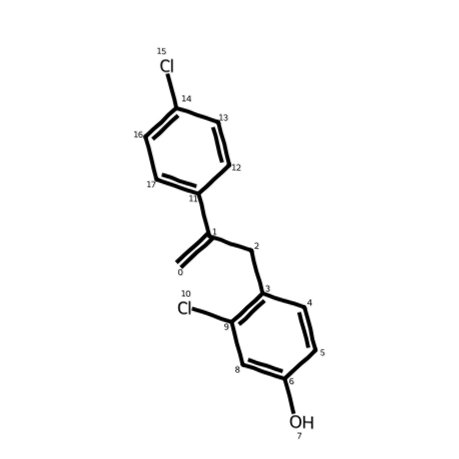 C=C(Cc1ccc(O)cc1Cl)c1ccc(Cl)cc1